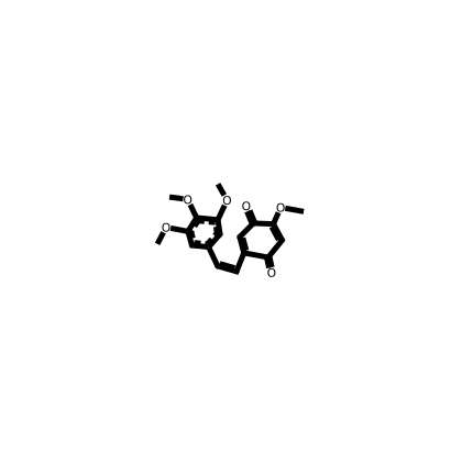 COC1=CC(=O)C(/C=C\c2cc(OC)c(OC)c(OC)c2)=CC1=O